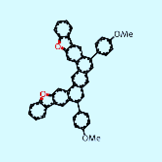 COc1ccc(-c2cc3cc4cc(-c5ccc(OC)cc5)c5cc6c(cc5c4cc3c3cc4oc5ccccc5c4cc23)oc2ccccc26)cc1